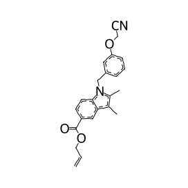 C=CCOC(=O)c1ccc2c(c1)c(C)c(C)n2Cc1cccc(OCC#N)c1